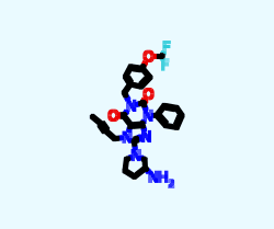 CC#CCn1c(N2CCCC(N)C2)nc2c1c(=O)n(Cc1ccc(OC(F)F)cc1)c(=O)n2-c1ccccc1